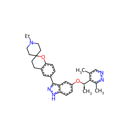 CCN1CCC2(CCc3cc(-c4n[nH]c5ccc(O[C@H](C)c6c(C)cnnc6C)cc45)ccc3O2)CC1